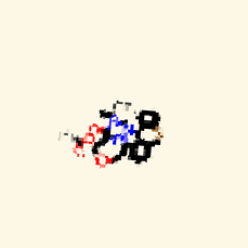 CC(C)C(=O)O/C1=C2\C(=O)N([C@H](C)C(F)(F)F)CN([C@H]3c4ccccc4CSc4ccccc43)N2/C=C\COC1